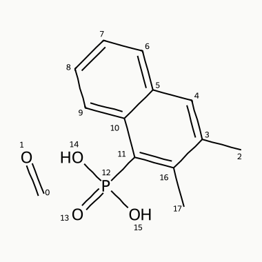 C=O.Cc1cc2ccccc2c(P(=O)(O)O)c1C